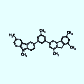 Cc1cc(-c2cc(C)c3c(c2)-c2cc(C)cc(C)c2C3)cc(-c2ccc3c(c2)c2cc(C)ccc2n3C)c1